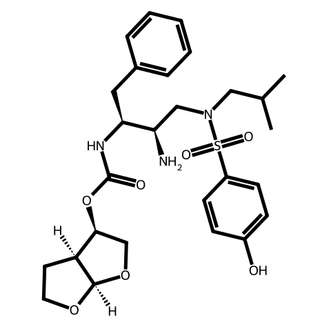 CC(C)CN(C[C@@H](N)[C@H](Cc1ccccc1)NC(=O)O[C@H]1CO[C@H]2OCC[C@H]21)S(=O)(=O)c1ccc(O)cc1